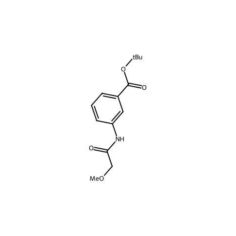 COCC(=O)Nc1cccc(C(=O)OC(C)(C)C)c1